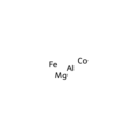 [Al].[Co].[Fe].[Mg]